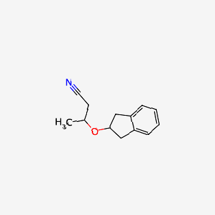 CC(CC#N)OC1Cc2ccccc2C1